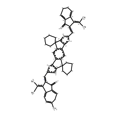 CC1=CC=C2C(=CC1)C(=O)/C(=C\c1nc3c(s1)-c1cc4c(cc1C31CCCCC1)-c1sc(/C=C3\C(=O)C5=CCCC=C5C3=C(C#N)C#N)nc1C41CCCCC1)C2=C(C#N)C#N